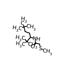 CSCC(=O)NC(CCC(C)(C)C)C(C)(C)C